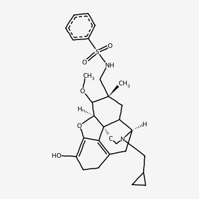 COC1[C@@H]2OC3=C(O)CCC4=C3[C@@]23CCN(CC2CC2)[C@H](C4)C3C[C@@]1(C)CNS(=O)(=O)c1ccccc1